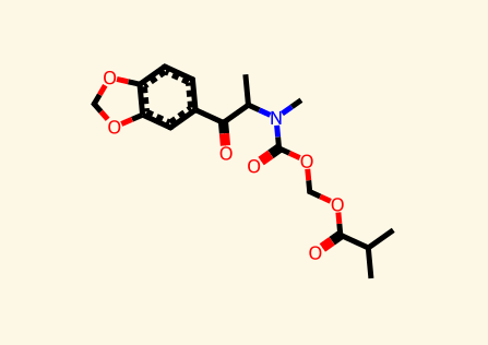 CC(C)C(=O)OCOC(=O)N(C)C(C)C(=O)c1ccc2c(c1)OCO2